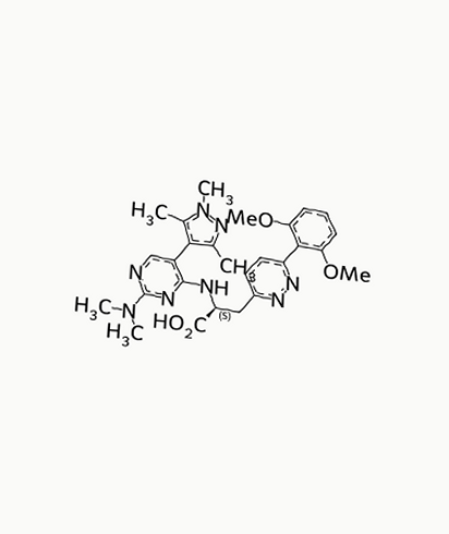 COc1cccc(OC)c1-c1ccc(C[C@H](Nc2nc(N(C)C)ncc2-c2c(C)nn(C)c2C)C(=O)O)nn1